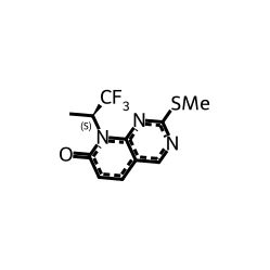 CSc1ncc2ccc(=O)n([C@@H](C)C(F)(F)F)c2n1